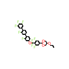 C=CCOC1COC(c2cc(F)c(C(F)(F)Oc3ccc(-c4ccc(-c5cc(F)c(F)c(F)c5)c(F)c4)c(F)c3)c(F)c2)OC1